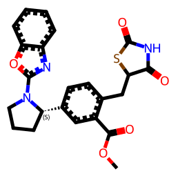 COC(=O)c1cc([C@@H]2CCCN2c2nc3ccccc3o2)ccc1CC1SC(=O)NC1=O